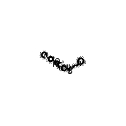 Cc1oc(-c2ccc(N3CCCCC3)cc2)nc1CN1CCC(C(=O)NCCCN2CCCCCC2)CC1